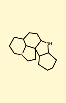 C1CCC2C(C1)NC1CCC3CCCN4CCC12C34